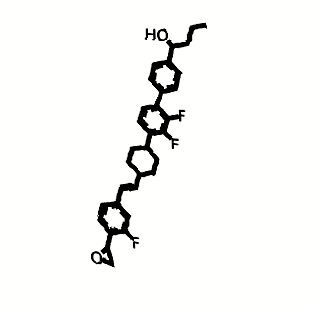 CCCC(O)c1ccc(-c2ccc(C3CCC(/C=C/c4ccc(C5CO5)c(F)c4)CC3)c(F)c2F)cc1